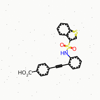 O=C(O)c1ccc(C#Cc2ccccc2NS(=O)(=O)c2csc3ccccc23)cc1